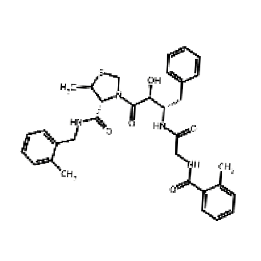 Cc1ccccc1CNC(=O)[C@@H]1C(C)SCN1C(=O)[C@@H](O)[C@H](Cc1ccccc1)NC(=O)CNC(=O)c1ccccc1C